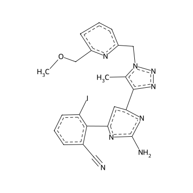 COCc1cccc(Cn2nnc(-c3cc(-c4c(I)cccc4C#N)nc(N)n3)c2C)n1